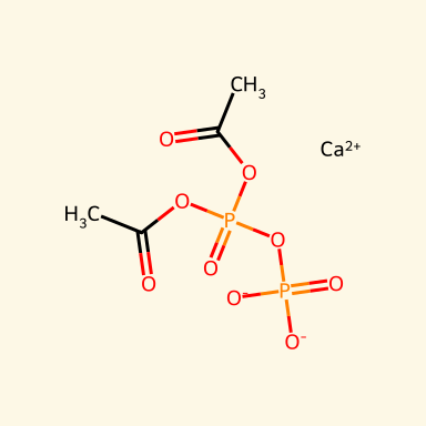 CC(=O)OP(=O)(OC(C)=O)OP(=O)([O-])[O-].[Ca+2]